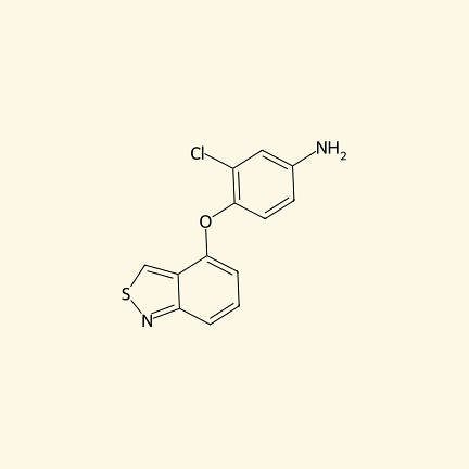 Nc1ccc(Oc2cccc3nscc23)c(Cl)c1